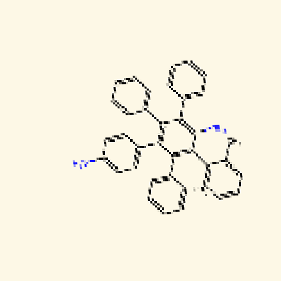 Cc1ccccc1-c1c(N)c(-c2ccccc2)c(-c2ccccc2)c(-c2ccc(N)cc2)c1-c1ccccc1C